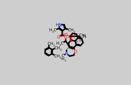 Cc1c[nH]c(C)c1C(=O)OC(C)C1=CC[C@@]23OCCN(C)C[C@@]12C[C@@H](O)[C@]12O[C@@]4(O)CC[C@@]1(C)[C@H](CC=C32)C4.Cc1cccc(C)c1C